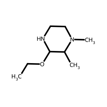 CCOC1NCCN(C)C1C